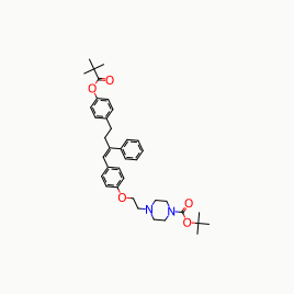 CC(C)(C)OC(=O)N1CCN(CCOc2ccc(C=C(CCc3ccc(OC(=O)C(C)(C)C)cc3)c3ccccc3)cc2)CC1